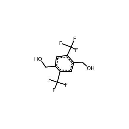 OCc1cc(C(F)(F)F)c(CO)cc1C(F)(F)F